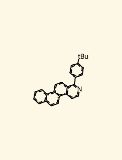 CC(C)(C)c1ccc(-c2nccc3c2ccc2c4ccccc4ccc32)cc1